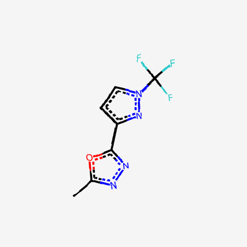 Cc1nnc(-c2ccn(C(F)(F)F)n2)o1